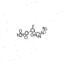 CN1CCC12CCN(c1cc(-c3cc(F)cc(-c4ccc(-n5ccn(C)c5=O)c(Cl)c4)c3O)ccn1)C2